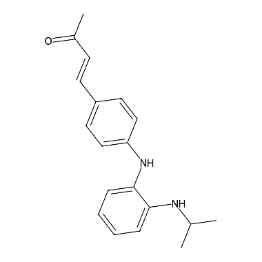 CC(=O)/C=C/c1ccc(Nc2ccccc2NC(C)C)cc1